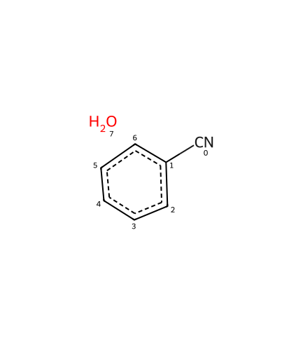 N#Cc1ccccc1.O